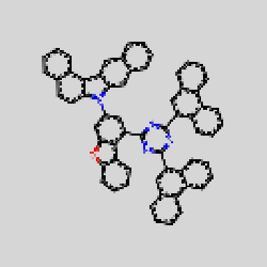 c1ccc2cc3c(cc2c1)c1c2ccccc2ccc1n3-c1cc(-c2nc(-c3cc4ccccc4c4ccccc34)nc(-c3cc4ccccc4c4ccccc34)n2)c2c(c1)oc1ccccc12